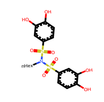 CCCCCCN(S(=O)(=O)c1ccc(O)c(O)c1)S(=O)(=O)c1ccc(O)c(O)c1